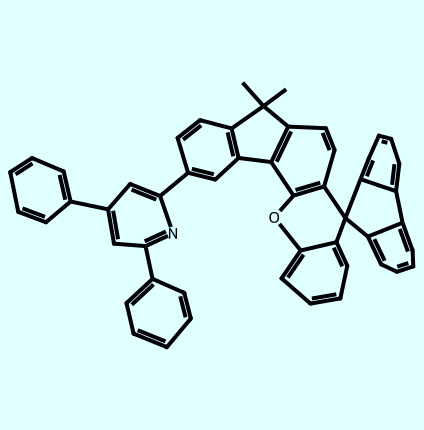 CC1(C)c2ccc(-c3cc(-c4ccccc4)cc(-c4ccccc4)n3)cc2-c2c1ccc1c2Oc2ccccc2C12c1ccccc1-c1ccccc12